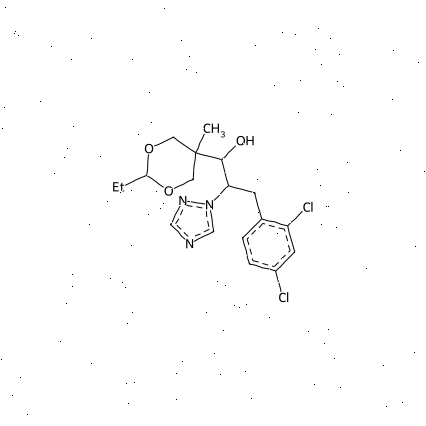 CCC1OCC(C)(C(O)C(Cc2ccc(Cl)cc2Cl)n2cncn2)CO1